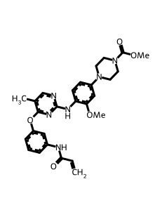 C=CC(=O)Nc1cccc(Oc2nc(Nc3ccc(N4CCN(C(=O)OC)CC4)cc3OC)ncc2C)c1